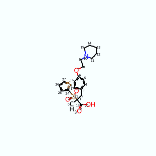 CC(Cc1ccc(OCCN2CCCCC2)cc1)(C(=O)O)S(=O)(=O)c1cccs1